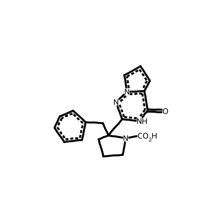 O=C(O)N1CCCC1(Cc1ccccc1)c1nn2cccc2c(=O)[nH]1